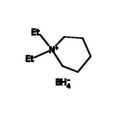 CC[N+]1(CC)CCCCC1.[BH4-]